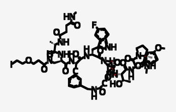 CNC(=O)CCC(=O)N[C@@H](C)C(=O)N[C@H](CNC(=O)CCOCCI)C(=O)N[C@H]1Cc2cccc(c2)CNC(=O)CO[C@H]2CCN(C(=O)[C@H](Cc3c[nH]c4ccc(F)cc34)NC1=O)[C@@H]2C(=O)N[C@H](C(=O)N[C@@H](Cc1ccc(OC)cc1)C(=O)N1CCC[C@@]1(C)C(=O)NC)[C@@H](C)O